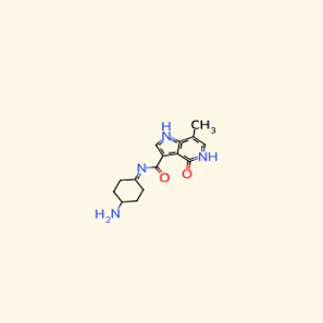 Cc1c[nH]c(=O)c2c(C(=O)N=C3CCC(N)CC3)c[nH]c12